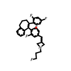 FCCCN1CC(=Cc2cc(F)c(C3=C(c4ccc(F)cc4F)CCCc4ccccc43)c(F)c2)C1